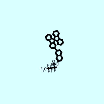 O=S(=O)(Oc1ccc2ccc(-c3ccc4c(c3)C3(c5ccccc5-c5ccccc53)c3ccccc3-4)cc2c1)C(F)(F)C(F)(F)C(F)(F)C(F)(F)F